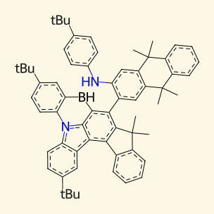 CC(C)(C)c1ccc(Nc2cc3c(cc2-c2c4c(c5c6cc(C(C)(C)C)ccc6n6c5c2Bc2cc(C(C)(C)C)ccc2-6)-c2ccccc2C4(C)C)C(C)(C)c2ccccc2C3(C)C)cc1